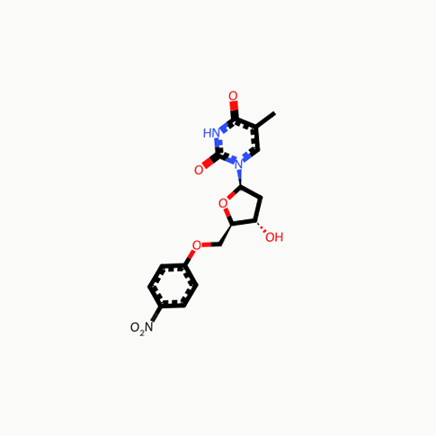 Cc1cn([C@H]2C[C@H](O)[C@@H](COc3ccc([N+](=O)[O-])cc3)O2)c(=O)[nH]c1=O